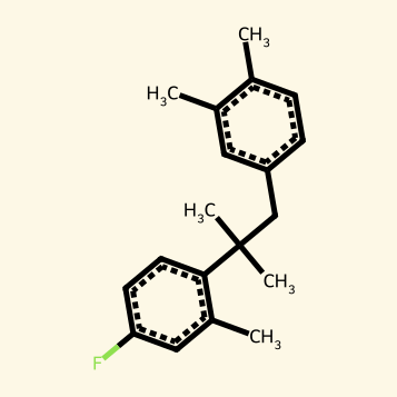 Cc1ccc(CC(C)(C)c2ccc(F)cc2C)cc1C